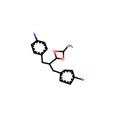 CC1OC(C(Cc2ccc(Br)cc2)Cc2ccc(I)cc2)O1